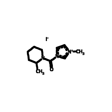 CC1CCCCN1C(=O)n1cc[n+](C)c1.[I-]